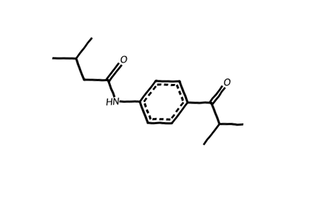 CC(C)CC(=O)Nc1ccc(C(=O)C(C)C)cc1